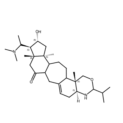 CC(C)C1N[C@H]2CC=C3CC4C(=O)C[C@]5(C)[C@@H](C(C)N(C)C)[C@H](O)C[C@@]5(C)C4CCC3[C@]2(C)CO1